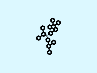 c1ccc(-c2cc(-c3ccccc3)cc(N(c3ccc(-c4ccc(-c5ccccc5)cc4-c4ccccc4)cc3)c3ccc(-c4cccc5c(-c6ccccc6)c(-c6ccccc6)c6ccccc6c45)cc3)c2)cc1